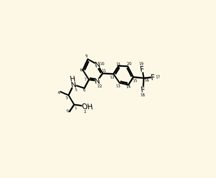 CC(O)C(C)NCc1ccnc(-c2ccc(C(F)(F)F)cc2)n1